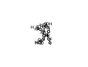 CC1(C)OCc2cc(-c3noc(-c4ccc(CN5CCC(C(=O)O)(C(=O)O)CC5)cc4)n3)ccc21.O=C(O)C1(C(=O)O)CCN(Cc2ccc(-c3nc(-c4ccc(-c5ccccc5)c(F)c4)no3)cc2)CC1